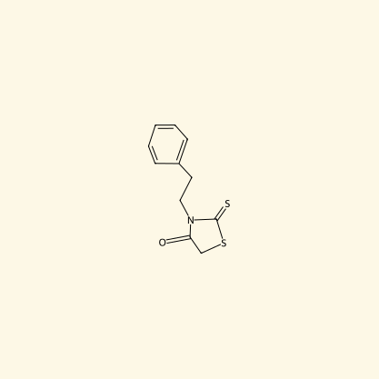 O=C1CSC(=S)N1CCc1ccccc1